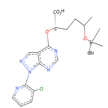 CC(CC[C@H](Oc1ncnc2c1cnn2-c1ncccc1Cl)C(=O)O)O[Si](C)(C)C(C)(C)C